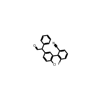 N#Cc1cccc(F)c1-c1cc(C(C=O)c2ccccc2)ccc1Cl